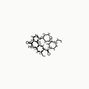 CCN1CCN(C(=O)c2cc3c(cc2C)[nH]c(=O)c2cnn(C4CCOCC4)c23)CC1